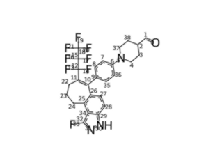 O=CC1CCN(c2ccc(C3=C(C(F)(F)C(F)(F)C(F)(F)F)CCCc4c3ccc3[nH]nc(F)c43)cc2)CC1